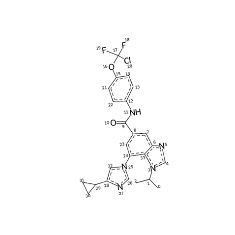 CC(C)n1cnc2cc(C(=O)Nc3ccc(OC(F)(F)Cl)cc3)cc(-n3cnc(C4CC4)c3)c21